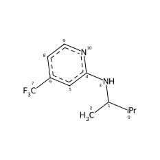 CC(C)C(C)Nc1cc(C(F)(F)F)ccn1